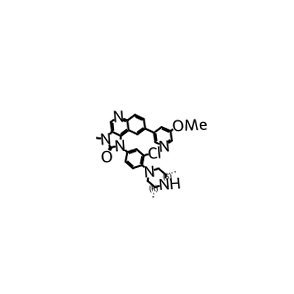 COc1cncc(-c2ccc3ncc4c(c3c2)n(-c2ccc(N3C[C@@H](C)N[C@@H](C)C3)c(Cl)c2)c(=O)n4C)c1